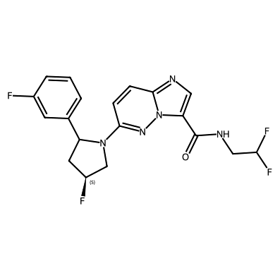 O=C(NCC(F)F)c1cnc2ccc(N3C[C@@H](F)CC3c3cccc(F)c3)nn12